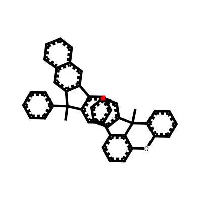 CC1(c2ccccc2)c2cc(-c3cccc4c3C(C)(c3ccccc3)c3ccccc3O4)ccc2-c2cc3ccccc3cc21